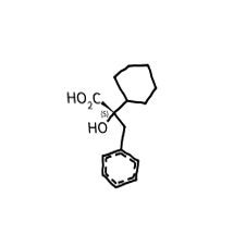 O=C(O)[C@](O)(Cc1ccccc1)C1CCCCC1